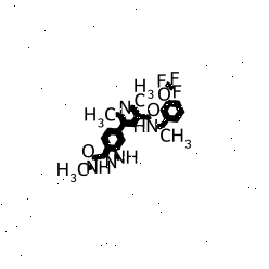 CNC(=O)c1n[nH]c2cc(-c3cc(C(=O)NC(C)c4cccc(OC(F)(F)F)c4)c(C)nc3C)ccc12